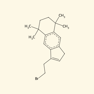 CC1(C)CCC(C)(C)c2cc3c(cc21)CC=C3CCBr